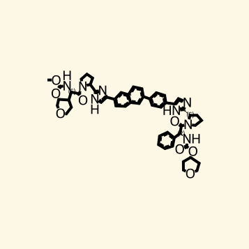 COC(=O)N[C@H](C(=O)N1CCCC1c1nc(-c2ccc3cc(-c4ccc(-c5cnc([C@@H]6CCCN6C(=O)[C@H](NC(=O)OC6CCOCC6)c6ccccc6)[nH]5)cc4)ccc3c2)c[nH]1)C1CCOCC1